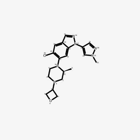 C[C@H]1CN(C2COC2)CCN1c1cc2c(cnn2-c2cnn(C)c2)cc1Cl